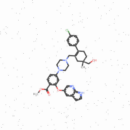 COC(=O)c1ccc(N2CCN(CC3=C(c4ccc(Cl)cc4)CCC(C)(CO)C3)CC2)cc1Oc1cnc2[nH]ccc2c1